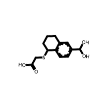 O=C(O)CSC1CCCc2cc(C(O)O)ccc21